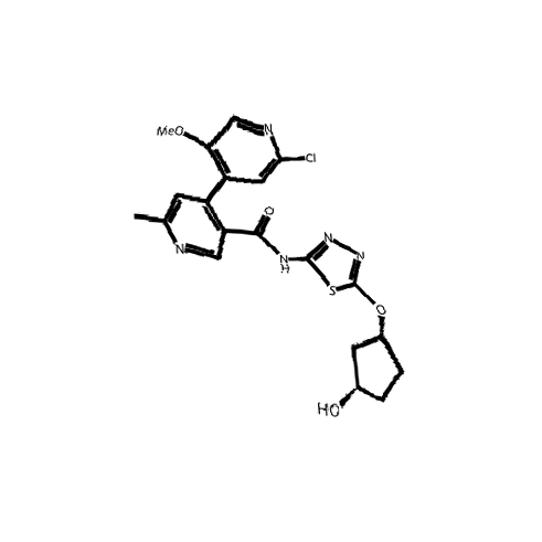 COc1cnc(Cl)cc1-c1cc(C)ncc1C(=O)Nc1nnc(O[C@H]2CC[C@@H](O)C2)s1